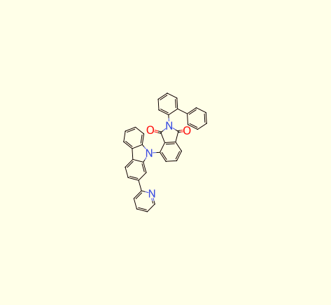 O=C1c2cccc(-n3c4ccccc4c4ccc(-c5ccccn5)cc43)c2C(=O)N1c1ccccc1-c1ccccc1